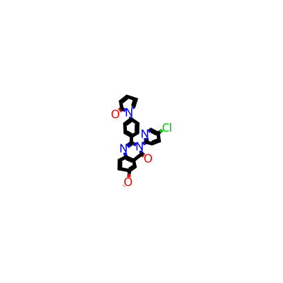 COc1ccc2nc(-c3ccc(-n4ccccc4=O)cc3)n(-c3ccc(Cl)cn3)c(=O)c2c1